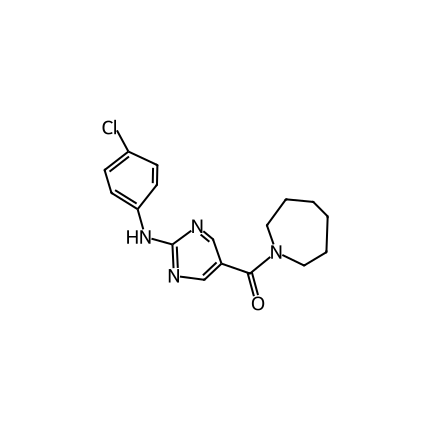 O=C(c1cnc(Nc2ccc(Cl)cc2)nc1)N1CCCCCC1